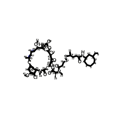 CCC1CCCCCC(NC(=O)CCC(C)SSCCC(=O)N(C)[C@@H](C)C(=O)O[C@H]2CC(=O)N(C)c3cc(cc(OC)c3Cl)C/C(C)=C/C=C/[C@@H](OC)[C@@]3(O)CC(OC(=O)N3)[C@@H](C)C3O[C@]32C)C1